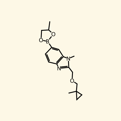 CC1COB(c2ccc3nc(COCC4(C)CC4)n(C)c3c2)O1